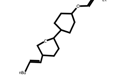 CCC=COC1CCC(C2CCC(C=CCCCC)CC2)CC1